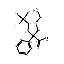 CCOCC(OCC(F)(F)F)(C(=O)O)c1ccccc1